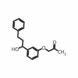 CC(=O)COc1cccc(C(O)CCc2ccccc2)c1